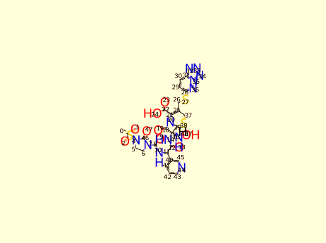 CS(=O)(=O)N1CCN(C(=O)NC(C(=O)N[C@]2(NO)C(=O)N3C(C(=O)O)=C(CSc4ccc5nnnn5n4)CS[C@@H]32)c2cccnc2)C1=O